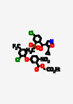 CCOC(=O)COC(=O)c1cc(Oc2ccc(C(F)(F)F)cc2Cl)ccc1[N+](=O)[O-].CS(=O)(=O)c1cc(Cl)ccc1C(=O)c1cnoc1C1CC1